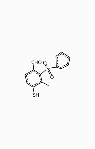 Cc1c(S)ccc(C=O)c1S(=O)(=O)c1ccccc1